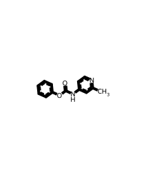 Cc1cc(NC(=O)Oc2ccccc2)ccn1